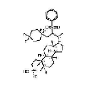 CC[C@]1(O)CC[C@@]2(C)[C@@H](CC[C@@H]3[C@@H]2CC[C@]2(C)[C@@H]([C@H](C)C(CC4(O)CCC(F)(F)CC4)S(=O)(=O)c4ccccc4)CC[C@@H]32)C1